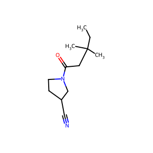 CCC(C)(C)CC(=O)N1CCC(C#N)C1